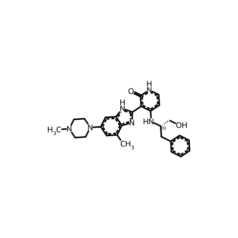 Cc1cc(N2CCN(C)CC2)cc2[nH]c(-c3c(N[C@H](CO)Cc4ccccc4)cc[nH]c3=O)nc12